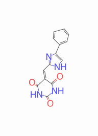 O=C1NC(=O)C(=Cc2nc(-c3ccccc3)c[nH]2)C(=O)N1